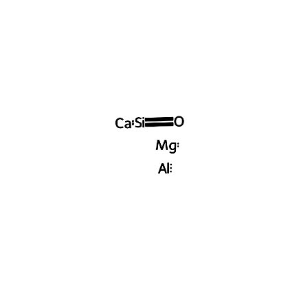 O=[Si].[Al].[Ca].[Mg]